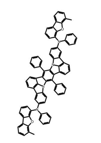 Cc1cccc2c1oc1c(N(c3ccccc3)c3ccc4c(c3)c3cccc5c6c(-c7ccccc7)c7c(c(-c8ccccc8)c6n4c35)c3cccc4c5cc(N(c6ccccc6)c6cccc8c6oc6c(C)cccc68)ccc5n7c43)cccc12